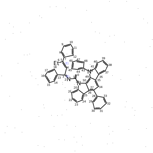 C=C(/N=C(\C=C(/CC)c1ccccc1)c1ccccc1)n1c2ccccc2c2c(-c3ccccc3)cc3c4ccccc4n(-c4ccccc4)c3c21